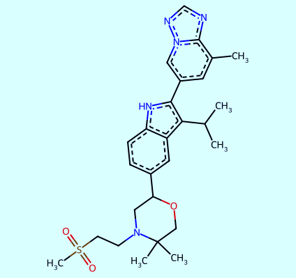 Cc1cc(-c2[nH]c3ccc(C4CN(CCS(C)(=O)=O)C(C)(C)CO4)cc3c2C(C)C)cn2ncnc12